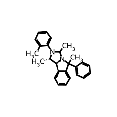 Cc1ccccc1N1C(C)N2C(c3ccccc3C2(C)c2ccccc2)[C@@H]1C